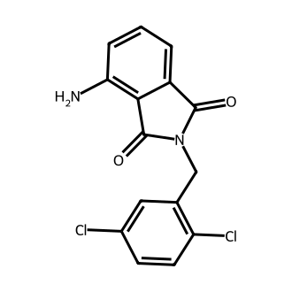 Nc1cccc2c1C(=O)N(Cc1cc(Cl)ccc1Cl)C2=O